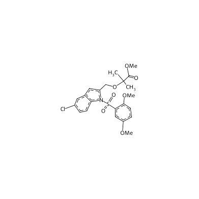 COC(=O)C(C)(C)OCc1cc2cc(Cl)ccc2n1S(=O)(=O)c1cc(OC)ccc1OC